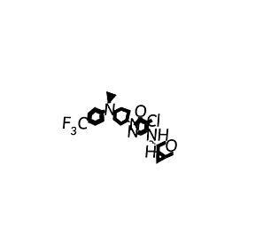 O=c1c(Cl)c(NC[C@@H]2COCC3C[C@H]32)cnn1[C@H]1CC[C@H](N(c2ccc(C(F)(F)F)cc2)C2CC2)CC1